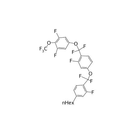 CCCCCCc1ccc(C(F)(F)Oc2ccc(C(F)(F)Oc3cc(F)c(OC(F)(F)F)c(F)c3)c(F)c2)c(F)c1